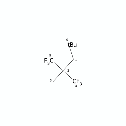 CC(C)(C)CC(C)(C(F)(F)F)C(F)(F)F